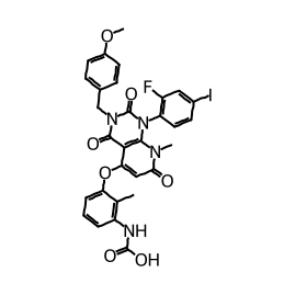 COc1ccc(Cn2c(=O)c3c(Oc4cccc(NC(=O)O)c4C)cc(=O)n(C)c3n(-c3ccc(I)cc3F)c2=O)cc1